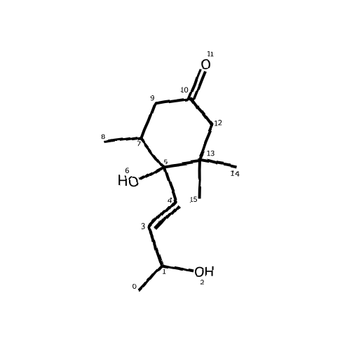 CC(O)C=CC1(O)C(C)CC(=O)CC1(C)C